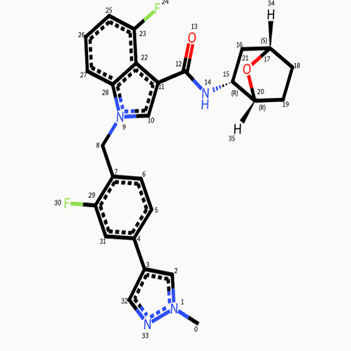 Cn1cc(-c2ccc(Cn3cc(C(=O)N[C@@H]4C[C@@H]5CC[C@H]4O5)c4c(F)cccc43)c(F)c2)cn1